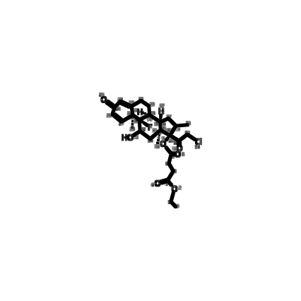 CCOC(=O)CCC(=O)O[C@]1(C(=O)CCl)C(C)C[C@H]2[C@@H]3CCC4=CC(=O)C=C[C@]4(C)[C@@]3(F)C(O)C[C@@]21C